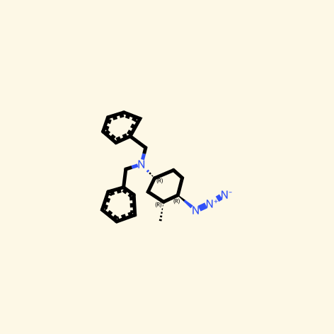 C[C@@H]1C[C@H](N(Cc2ccccc2)Cc2ccccc2)CC[C@H]1N=[N+]=[N-]